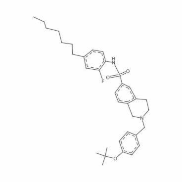 CCCCCCCc1ccc(NS(=O)(=O)c2ccc3c(c2)CCN(Cc2ccc(OC(C)(C)C)cc2)C3)c(F)c1